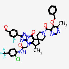 Cc1ncnc(C(=O)N2CCC3(CC2)CC(C)c2c3c(=O)n3nc(-c4ccc(C=O)cc4F)nc3n2CC(=O)Nc2ccc(C(F)(F)F)cc2Cl)c1OCc1ccccc1